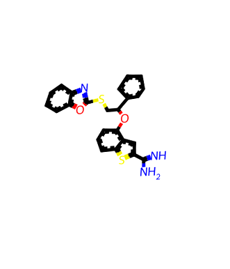 N=C(N)c1cc2c(OC(CSc3nc4ccccc4o3)c3ccccc3)cccc2s1